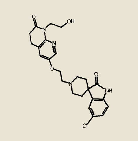 O=C1CCc2cc(OCCN3CCC4(CC3)C(=O)Nc3ccc(Cl)cc34)cnc2N1CCO